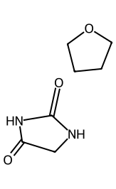 C1CCOC1.O=C1CNC(=O)N1